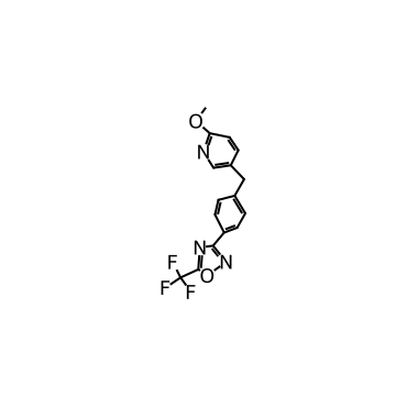 COc1ccc(Cc2ccc(-c3noc(C(F)(F)F)n3)cc2)cn1